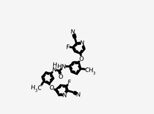 Cc1ccc(NC(=O)Nc2ccc(C)c(Oc3cnc(C#N)c(F)c3)c2)cc1Oc1cnc(C#N)c(F)c1